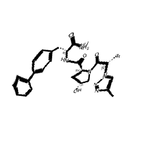 Cc1cn([C@H](C(=O)N2C[C@H](O)C[C@H]2C(=O)N[C@H](Cc2ccc(-c3ccccc3)cc2)C(N)=O)C(C)C)nn1